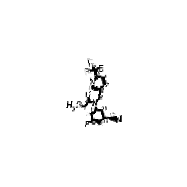 CCC(=O)N(Cc1ccc(C(F)(F)F)nc1)c1cc(F)cc(C#N)c1